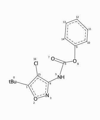 CC(C)(C)c1onc(NC(=O)Oc2ccccc2)c1Cl